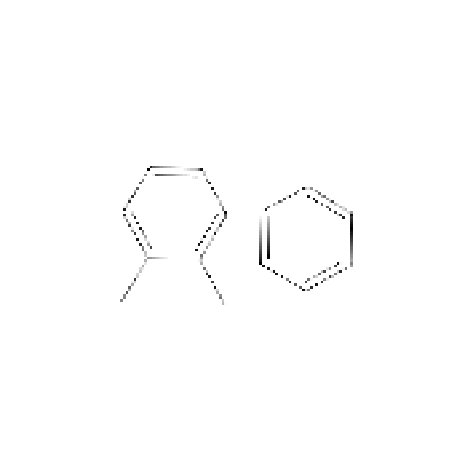 Cc1ccccc1C.c1ccccc1